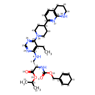 CCc1c(NC[C@H](NC(=O)OCC2=CCCC=C2)C(=O)OC(C)C)ncnc1N1CCC(c2ccc3c(n2)NCCC3)CC1